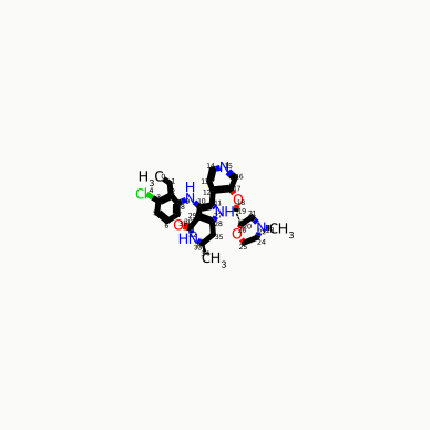 CCc1c(Cl)cccc1Nc1c(-c2ccncc2OC[C@@H]2CN(C)CCO2)[nH]c2c1C(=O)N[C@H](C)C2